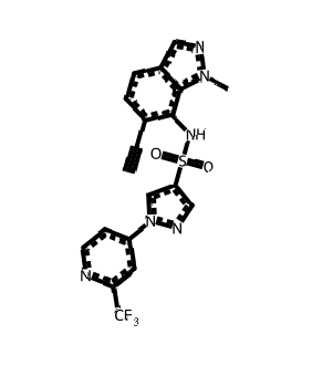 C#Cc1ccc2cnn(C)c2c1NS(=O)(=O)c1cnn(-c2ccnc(C(F)(F)F)c2)c1